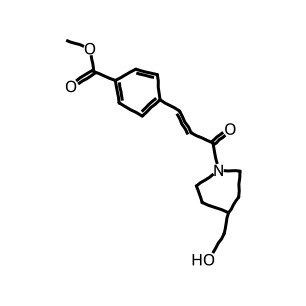 COC(=O)c1ccc(/C=C/C(=O)N2CCC(CO)CC2)cc1